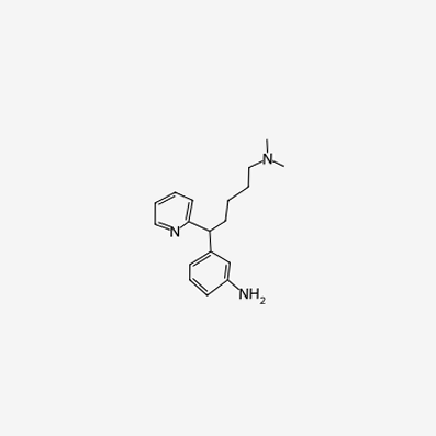 CN(C)CCCCC(c1cccc(N)c1)c1ccccn1